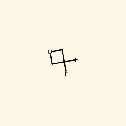 FC1(F)[CH]OC1